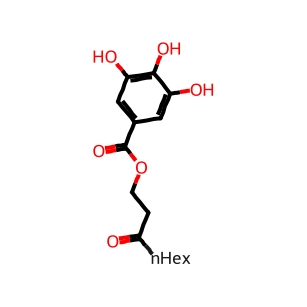 CCCCCCC(=O)CCOC(=O)c1cc(O)c(O)c(O)c1